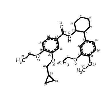 CCOc1cc(C2CCCCC2NC(=O)c2ccc(OCC)c(OCC3CC3)c2)ccc1OC